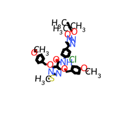 CCC(C)(C)C(=O)On1cc(-c2ccc(NC(=O)c3c(OCc4ccc(OC)cc4)nc(SC)nc3OCc3ccc(OC)cc3)c(Cl)c2)nn1